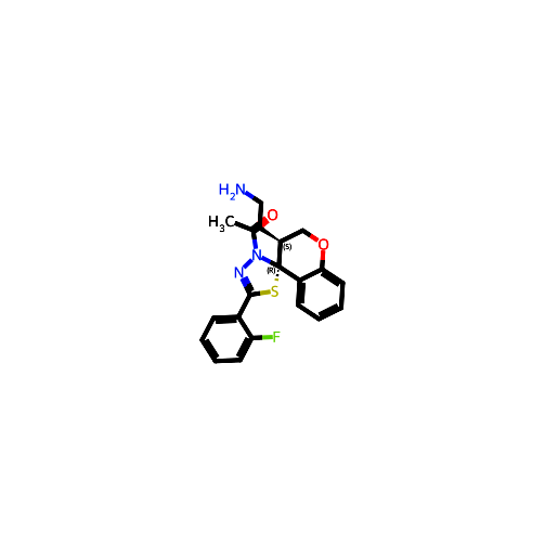 CC(=O)N1N=C(c2ccccc2F)S[C@]12c1ccccc1OC[C@@H]2CCN